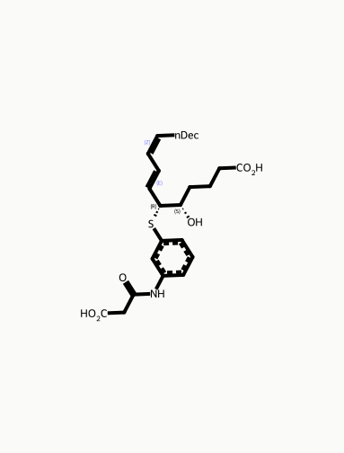 CCCCCCCCCC/C=C\C=C\[C@@H](Sc1cccc(NC(=O)CC(=O)O)c1)[C@@H](O)CCCC(=O)O